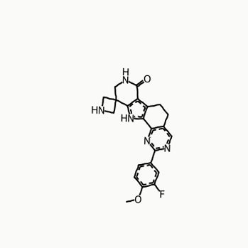 COc1ccc(-c2ncc3c(n2)-c2[nH]c4c(c2CC3)C(=O)NCC42CNC2)cc1F